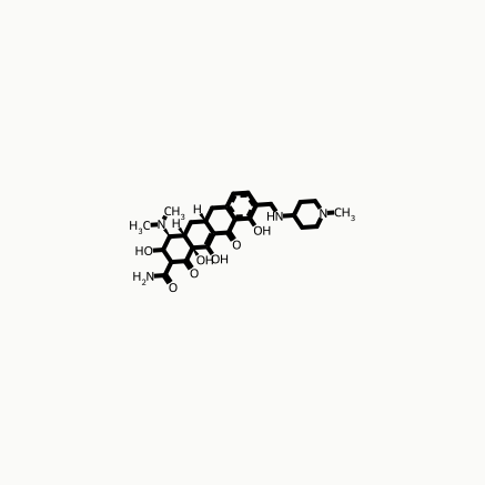 CN1CCC(NCc2ccc3c(c2O)C(=O)C2=C(O)[C@]4(O)C(=O)C(C(N)=O)C(O)[C@@H](N(C)C)[C@@H]4C[C@@H]2C3)CC1